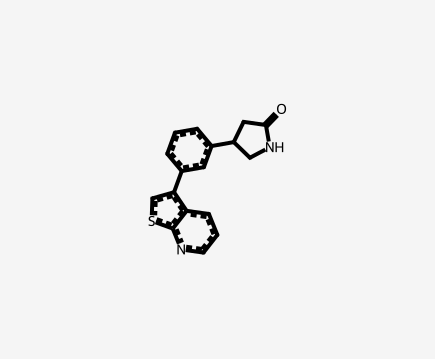 O=C1CC(c2cccc(-c3csc4ncccc34)c2)CN1